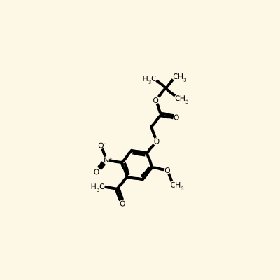 COc1cc(C(C)=O)c([N+](=O)[O-])cc1OCC(=O)OC(C)(C)C